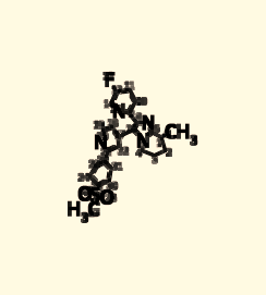 C[C@H]1CCCn2c1nc(-c1ccc(F)cn1)c2-c1ccnc(-c2ccc(S(C)(=O)=O)cc2)c1